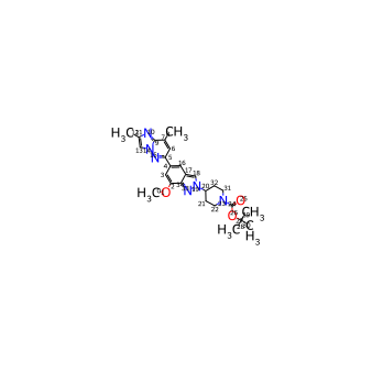 COc1cc(-c2cc(C)c3nc(C)cn3n2)cc2cn(C3CCN(C(=O)OC(C)(C)C)CC3)nc12